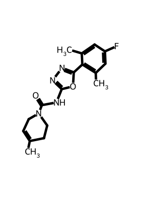 CC1=CCN(C(=O)Nc2nnc(-c3c(C)cc(F)cc3C)o2)CC1